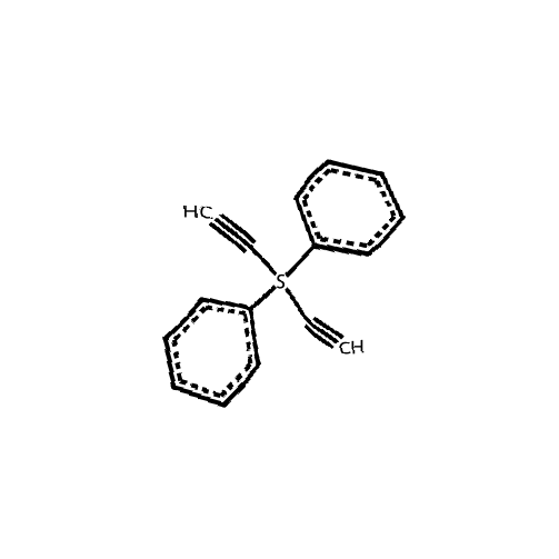 C#CS(C#C)(c1ccccc1)c1ccccc1